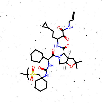 C=CCNC(=O)C(=O)C(CCC1CC1)NC(=O)[C@@H]1[C@H]2CC(C)(C)O[C@H]2CN1C(=O)[C@@H](NC(=O)NC1(CS(=O)(=O)C(C)(C)C)CCCCC1)C1CCCCC1